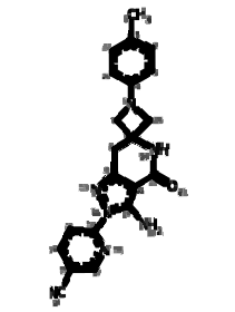 Cc1ccc(N2CC3(Cc4nn(-c5ccc(C#N)cn5)c(N)c4C(=O)N3)C2)cc1